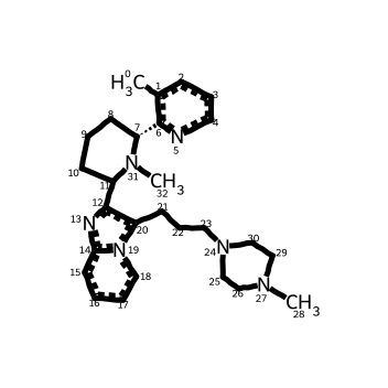 Cc1cccnc1[C@H]1CCCC(c2nc3ccccn3c2CCCN2CCN(C)CC2)N1C